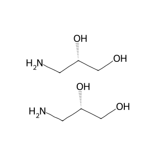 NC[C@H](O)CO.NC[C@H](O)CO